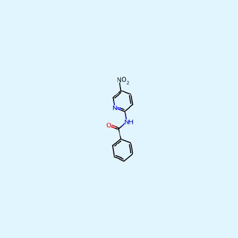 O=C(Nc1ccc([N+](=O)[O-])cn1)c1ccccc1